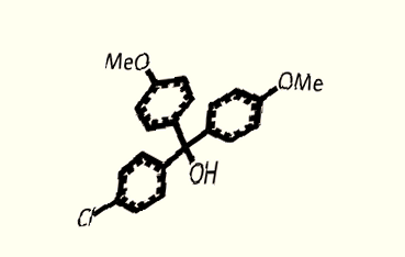 COc1ccc(C(O)(c2ccc(Cl)cc2)c2ccc(OC)cc2)cc1